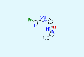 Cc1ccc(C(=O)Nc2cc(C(F)(F)F)ccn2)cc1-n1cc(C2C=C(Br)C=NC2)nn1